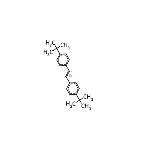 CC(C)(C)c1ccc(/[C]=[C]/c2ccc(C(C)(C)C)cc2)cc1